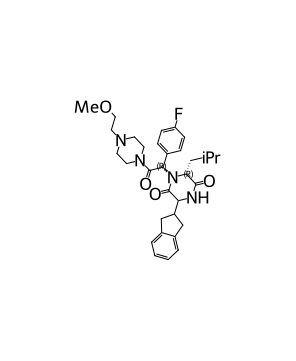 COCCN1CCN(C(=O)[C@@H](c2ccc(F)cc2)N2C(=O)C(C3Cc4ccccc4C3)NC(=O)[C@H]2CC(C)C)CC1